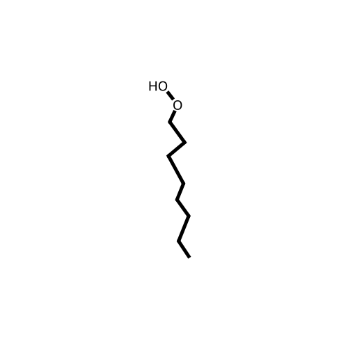 CCCCCCCCOO